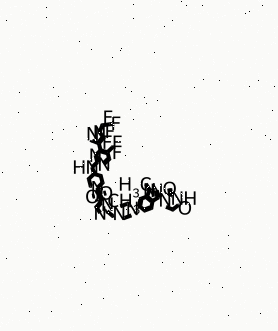 Cn1c(S(=O)(=O)N2CCC(Nc3ncc(C(F)(F)F)c(-c4cnn(CC(F)(F)F)c4)n3)CC2)cnc1CN1CCN(c2ccc3c(N4CCC(=O)NC4=O)nn(C)c3c2)CC1